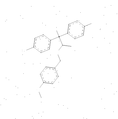 COc1ccc(COC(C)C(O)(c2ccc(Br)cc2)c2ccc(Br)cc2)cc1